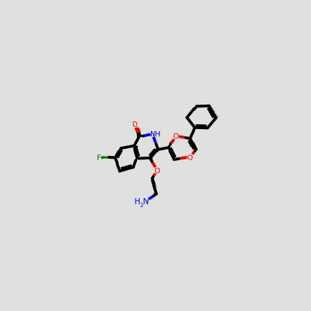 NCCOc1c(C2=COC=C(C3=CC=CCC3)O2)[nH]c(=O)c2cc(F)ccc12